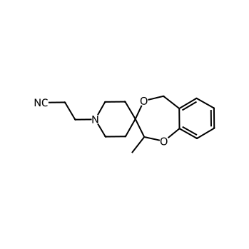 CC1Oc2ccccc2COC12CCN(CCC#N)CC2